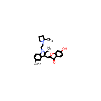 COc1ccc2c(c1)c(/C=C1\Oc3cc(O)ccc3C1=O)c(C)n2CCN1CCCC1C